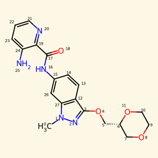 Cn1nc(OC[C@H]2COCCO2)c2ccc(NC(=O)c3ncccc3N)cc21